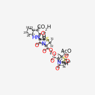 CC(=O)OC[C@@]1(C)[C@H](C(=O)OCOC(=O)[C@@H]2N3C(=O)[C@@H](NC(=O)C(C(=O)O)c4ccccc4)[C@H]3SC2(C)C)N2C(=O)C[C@H]2S1(=O)=O